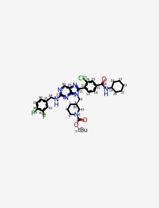 CC(C)(C)OC(=O)N1CCC[C@@H](Cn2c(-c3ccc(C(=O)NC4CCCCC4)cc3Cl)nc3cnc(NCc4ccc(F)c(F)c4)nc32)C1